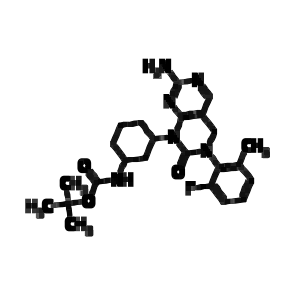 Cc1cccc(F)c1N1Cc2cnc(N)nc2N(C2CCCC(NC(=O)OC(C)(C)C)C2)C1=O